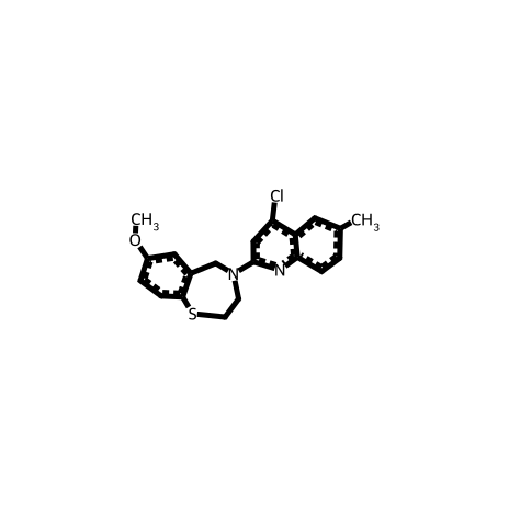 COc1ccc2c(c1)CN(c1cc(Cl)c3cc(C)ccc3n1)CCS2